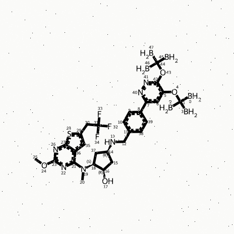 BC(B)(B)Oc1cc(-c2ccc(CN[C@H]3C[C@@H](O)[C@@H](N(C)c4nc(OC)nc5sc(CC(F)(F)F)cc45)C3)cc2)nnc1OC(B)(B)B